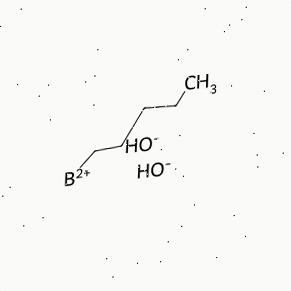 [B+2]CCCCC.[OH-].[OH-]